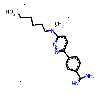 CN(CCCCCC(=O)O)c1ccc(-c2ccc(C(=N)N)cc2)nn1